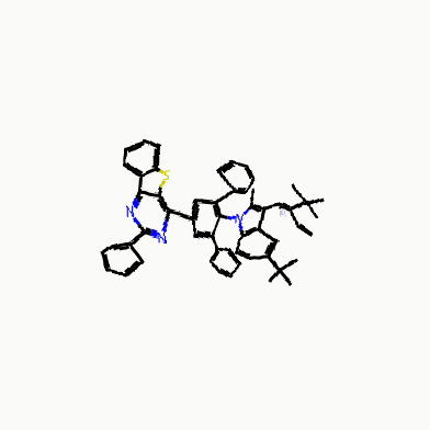 C=C/C(=C\c1c(C)n(-c2c(-c3ccccc3)cc(-c3nc(-c4ccccc4)nc4c3sc3ccccc34)cc2-c2ccccc2)c2ccc(C(C)(C)C)cc12)C(C)(C)C